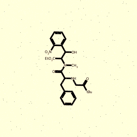 CCOC(=O)C(C(O)c1ccccc1[N+](=O)[O-])N(C)C(=O)C(Cc1ccccc1)NCC(=O)C(C)(C)C